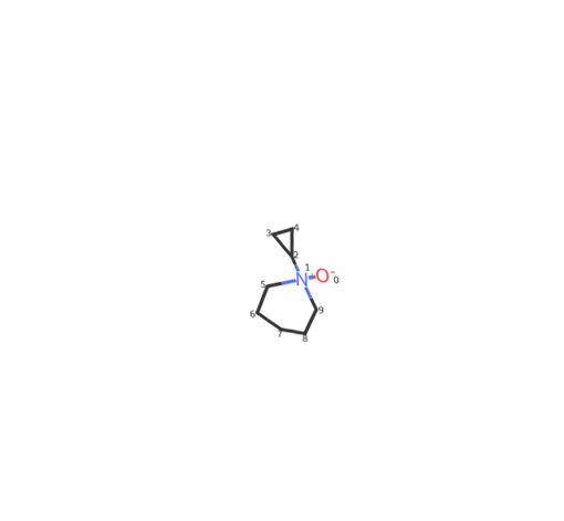 [O-][N+]1(C2CC2)CCCCC1